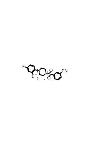 C[C@@H]1CN(c2ccc(F)cc2C(F)(F)F)CCN1S(=O)(=O)c1cccc(C#N)c1